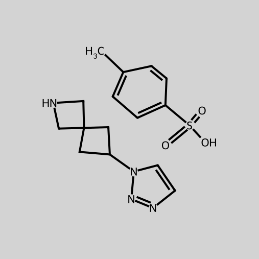 Cc1ccc(S(=O)(=O)O)cc1.c1cn(C2CC3(CNC3)C2)nn1